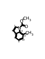 COC(=O)n1ccc2cccc(C)c21